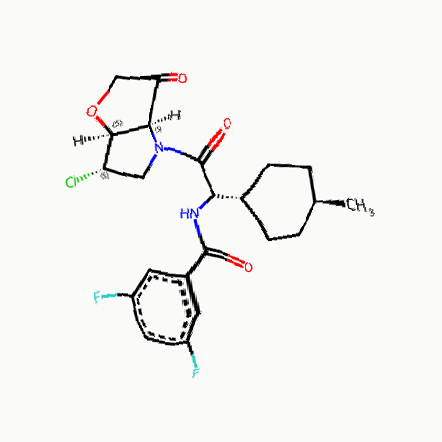 C[C@H]1CC[C@H](C(NC(=O)c2cc(F)cc(F)c2)C(=O)N2C[C@H](Cl)[C@H]3OCC(=O)[C@H]32)CC1